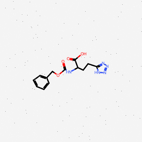 O=C(NC(CCc1nnn[nH]1)C(=O)O)OCc1ccccc1